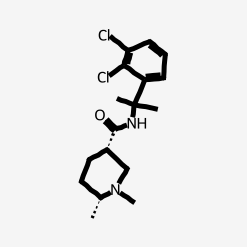 C[C@@H]1CC[C@H](C(=O)NC(C)(C)c2cccc(Cl)c2Cl)CN1C